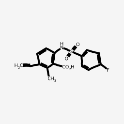 C=Cc1ccc(NS(=O)(=O)c2ccc(F)cc2)c(C(=O)O)c1C